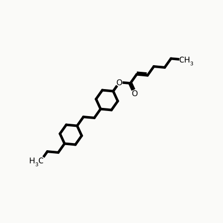 CCCCC=CC(=O)OC1CCC(CCC2CCC(CCC)CC2)CC1